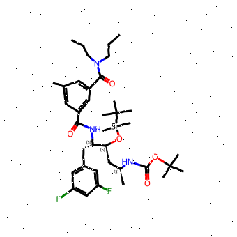 CCCN(CCC)C(=O)c1cc(C)cc(C(=O)N[C@@H](Cc2cc(F)cc(F)c2)[C@H](C[C@H](C)NC(=O)OC(C)(C)C)O[Si](C)(C)C(C)(C)C)c1